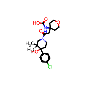 CC1(C)CN(C(=O)CC2(NC(=O)O)CCOCC2)CCC1(O)c1ccc(Cl)cc1